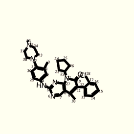 Cc1cc(Nc2ncc3c(C)c(-c4ccccc4Cl)c(=O)n(C4CCCC4)c3n2)ccc1N1CCN(C)CC1